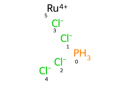 P.[Cl-].[Cl-].[Cl-].[Cl-].[Ru+4]